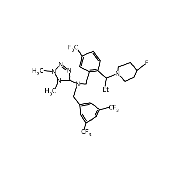 CCC(c1ccc(C(F)(F)F)cc1CN(Cc1cc(C(F)(F)F)cc(C(F)(F)F)c1)C1N=NN(C)N1C)N1CCC(F)CC1